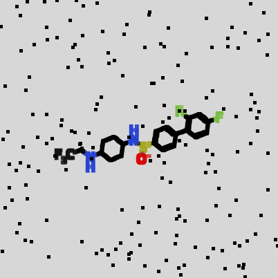 [O-][S+](NC1CCC(NCC(F)(F)F)CC1)c1ccc(-c2ccc(F)cc2F)cc1